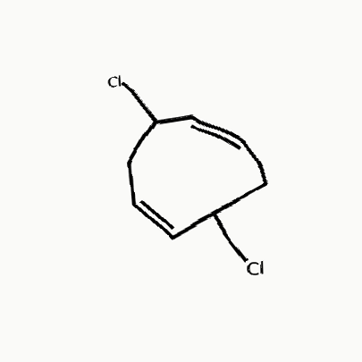 ClC1/C=C\CC(Cl)/C=C\C1